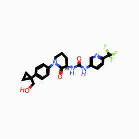 O=C(Nc1ccc(C(F)(F)F)nc1)N[C@@H]1CCCN(c2ccc(C3(CO)CC3)cc2)C1=O